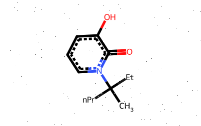 CCCC(C)(CC)n1cccc(O)c1=O